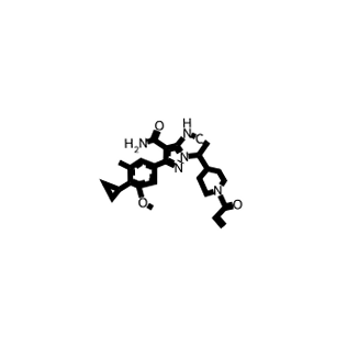 C=CC(=O)N1CCC(C2CCNc3c(C(N)=O)c(-c4cc(C)c(C5CC5)c(OC)c4)nn32)CC1